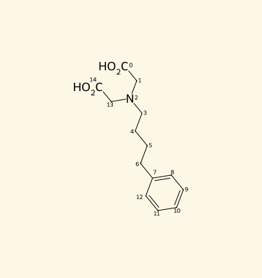 O=C(O)CN(CCCCc1ccccc1)CC(=O)O